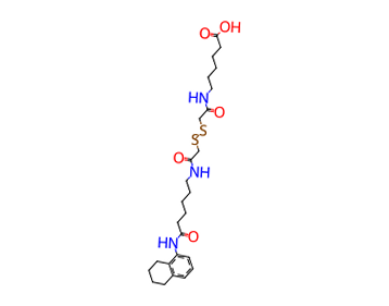 O=C(O)CCCCCNC(=O)CSSCC(=O)NCCCCCC(=O)Nc1cccc2c1CCCC2